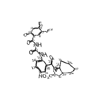 O=C(NC(=O)c1cc(F)c(F)cc1Cl)Nc1ccccc1C(=O)N1C2CCCCC2C[C@H]1C(=O)O